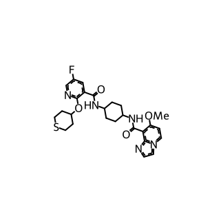 COc1ccn2ccnc2c1C(=O)NC1CCC(NC(=O)c2cc(F)cnc2OC2CCSCC2)CC1